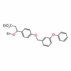 CCOC(=O)CC(OCC)c1ccc(OCc2cccc(Oc3ccccc3)c2)cc1